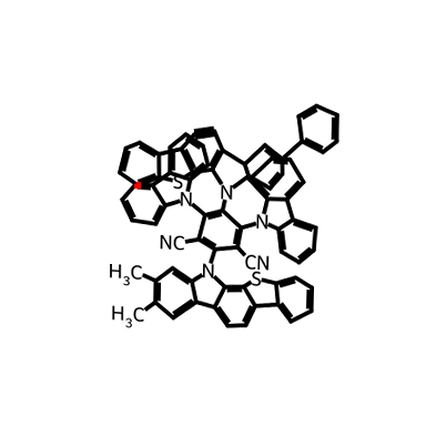 Cc1cc2c3ccc4c5ccccc5sc4c3n(-c3c(C#N)c(-n4c5ccccc5c5ccccc54)c(N4c5c(c#cc6c5sc5ccccc56)C5C=C(c6ccccc6)C=CC54)c(-n4c5ccccc5c5ccccc54)c3C#N)c2cc1C